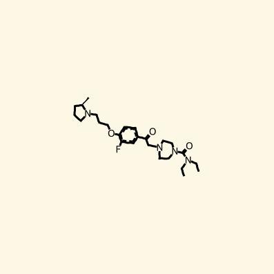 CCN(CC)C(=O)N1CCN(CC(=O)c2ccc(OCCCN3CCC[C@H]3C)c(F)c2)CC1